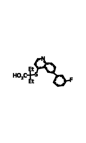 CCC(CC)(Sc1ccnc2ccc(-c3cccc(F)c3)cc12)C(=O)O